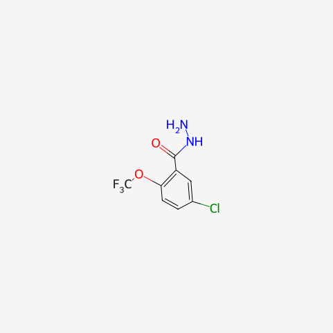 NNC(=O)c1cc(Cl)ccc1OC(F)(F)F